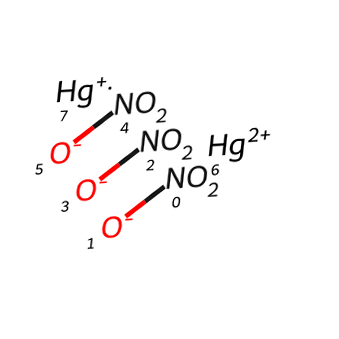 O=[N+]([O-])[O-].O=[N+]([O-])[O-].O=[N+]([O-])[O-].[Hg+2].[Hg+]